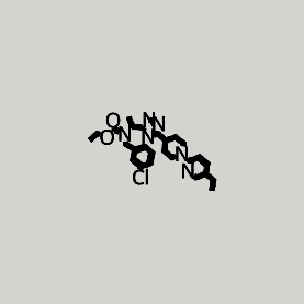 CCOC(=O)N1Cc2cc(Cl)ccc2-n2c(C3CCN(C4=NCC(CC)C=C4)CC3)nnc2C1C